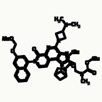 COCOc1cc(-n2ccc3c(nc(N4CC(N(C)C)C4)c4nc(CCN(C)C(=O)OC(C)(C)C)n(C5C6CC5N(C(=O)OC(C)(C)C)C6)c43)c2=O)c2ccccc2c1